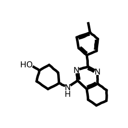 Cc1ccc(-c2nc3c(c(NC4CCC(O)CC4)n2)CCCC3)cc1